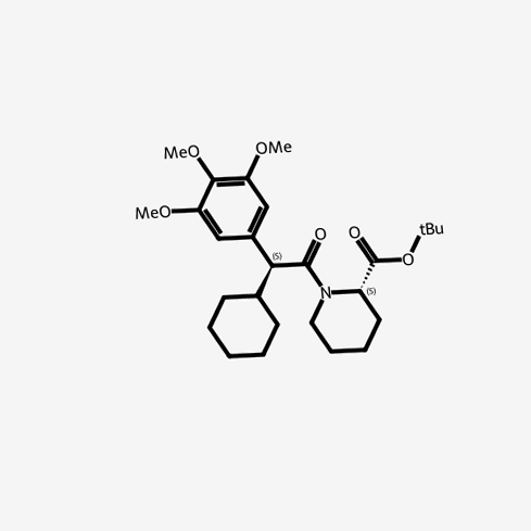 COc1cc([C@@H](C(=O)N2CCCC[C@H]2C(=O)OC(C)(C)C)C2CCCCC2)cc(OC)c1OC